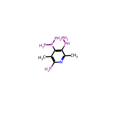 Cc1nc(P)c(C)c(P(P)P)c1PP